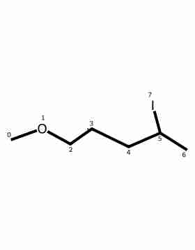 COC[CH]CC(C)I